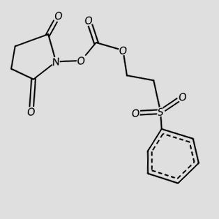 O=C(OCCS(=O)(=O)c1ccccc1)ON1C(=O)CCC1=O